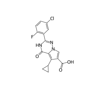 O=C(O)c1cn2nc(-c3cc(Cl)ccc3F)[nH]c(=O)c2c1C1CC1